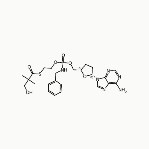 CC(C)(CO)C(=O)SCCOP(=O)(NCc1ccccc1)OC[C@@H]1CC[C@H](n2cnc3c(N)ncnc32)O1